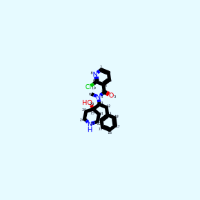 CN(C(=O)c1cccnc1Cl)C(Cc1ccccc1)C1(O)CCNCC1